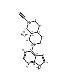 C#CN1CCC2CCN(c3ncnc4[nH]ccc34)C[C@@]2(O)C1